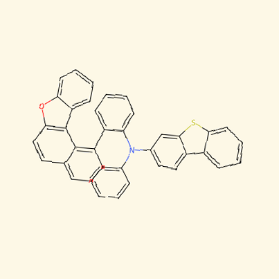 c1ccc(N(c2ccc3c(c2)sc2ccccc23)c2ccccc2-c2cccc3ccc4oc5ccccc5c4c23)cc1